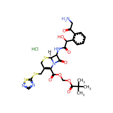 CC(C)(C)C(=O)OCOC(=O)C1=C(CSc2ncns2)CS[C@H]2C(NC(=O)C(O)c3ccccc3C(=O)CN)C(=O)N12.Cl